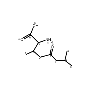 CC(C)CC(=O)CC(C)C(N)C(=O)O